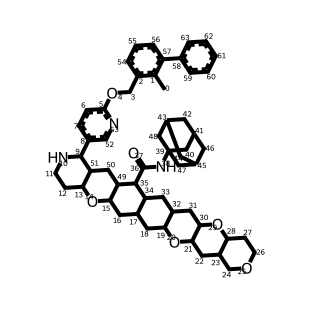 Cc1c(COc2ccc(C3NCCC4OC5CC6CC7OC8CC9COCCC9OC8CC7CC6C(C(=O)NC67CC8CC(CC(C8)C6)C7)C5CC43)cn2)cccc1-c1ccccc1